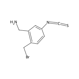 NCc1cc(N=C=S)ccc1CBr